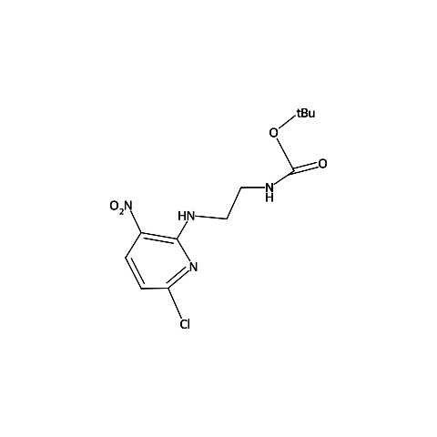 CC(C)(C)OC(=O)NCCNc1nc(Cl)ccc1[N+](=O)[O-]